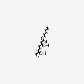 CCCCCCOC(=O)CC(O)CCCC(O)CC